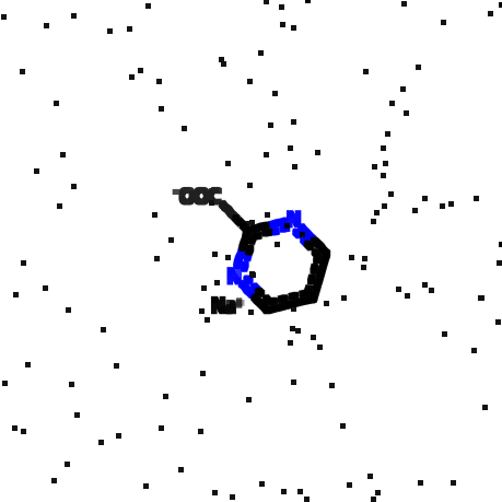 O=C([O-])c1ncccn1.[Na+]